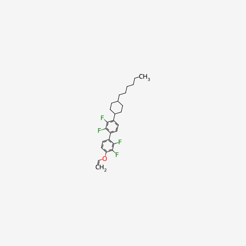 C=COc1ccc(-c2ccc(C3CCC(CCCCCC)CC3)c(F)c2F)c(F)c1F